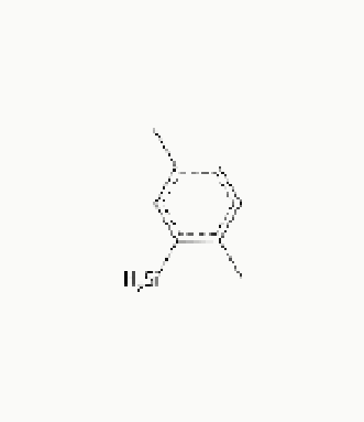 Cc1ccc(C)c([SiH2])c1